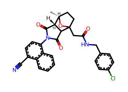 C[C@]12CCC(CC(=O)NCc3ccc(Cl)cc3)(O1)C1C(=O)N(c3ccc(C#N)c4ccccc34)C(=O)[C@@H]12